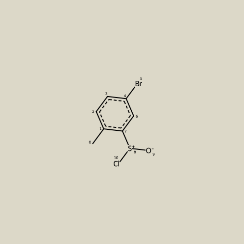 Cc1ccc(Br)cc1[S+]([O-])Cl